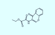 CCOC(=O)C(=O)Nc1coc2ccccc2c1=O